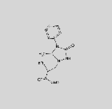 CCCC(CN1NC(=O)N(c2ccccc2)C1C)C(=O)OC